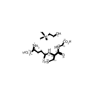 C[N+](C)(C)CCO.NC(CCC(=O)NC(CS)C(=O)NCC(=O)O)C(=O)O